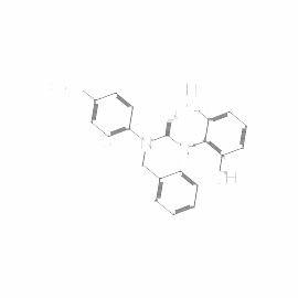 CCCCCCCCc1ccc(N(Cc2ccccc2)C(=O)Nc2c(C)cccc2C)cc1